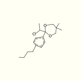 CCCCc1ccc(C2(C(C)Cl)OCC(C)(C)CO2)cc1